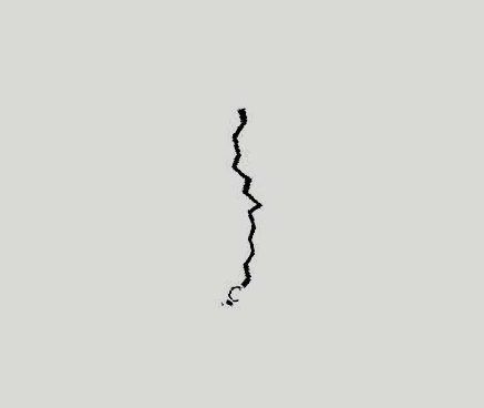 [CH]=C=CCCCCCCCCCCCC=C